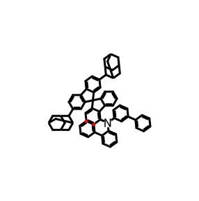 c1ccc(-c2cccc(N(c3ccccc3-c3ccccc3)c3cccc4c3-c3ccccc3C43c4cc(C5C6CC7CC(C6)CC5C7)ccc4-c4ccc(C5C6CC7CC(C6)CC5C7)cc43)c2)cc1